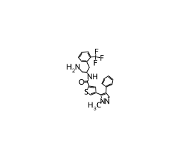 Cn1ncc(-c2ccccc2)c1-c1csc(C(=O)NC(CN)Cc2ccccc2C(F)(F)F)c1